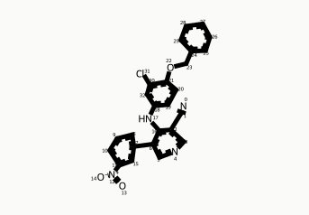 N#Cc1cncc(-c2cccc([N+](=O)[O-])c2)c1Nc1ccc(OCc2ccccc2)c(Cl)c1